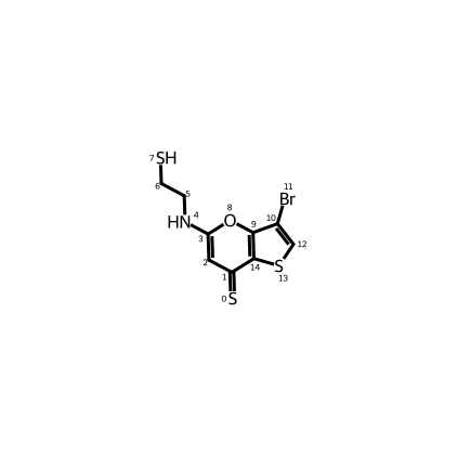 S=c1cc(NCCS)oc2c(Br)csc12